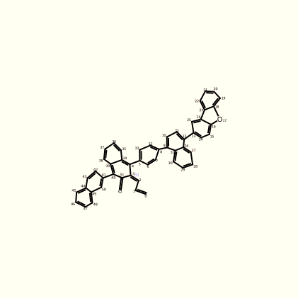 C=C/C=c1/c(-c2ccc(-c3ccc(-c4ccc5oc6ccccc6c5c4)c4ccccc34)cc2)c2ccccc2c(-c2ccc3ccccc3c2)c1=C